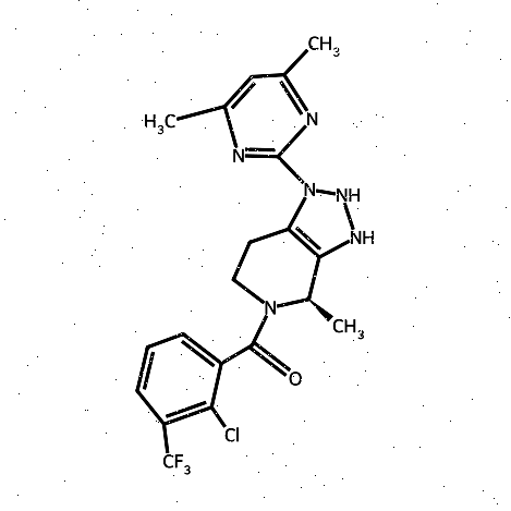 Cc1cc(C)nc(N2NNC3=C2CCN(C(=O)c2cccc(C(F)(F)F)c2Cl)[C@@H]3C)n1